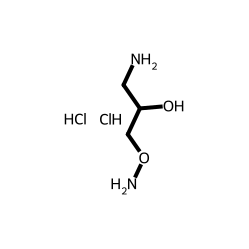 Cl.Cl.NCC(O)CON